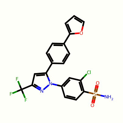 NS(=O)(=O)c1ccc(-n2nc(C(F)(F)F)cc2-c2ccc(-c3ccco3)cc2)cc1Cl